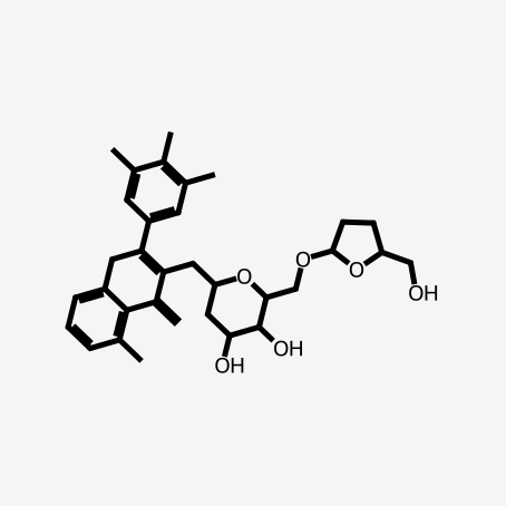 C=C1C(CC2CC(O)C(O)C(COC3CCC(CO)O3)O2)=C(c2cc(C)c(C)c(C)c2)Cc2cccc(C)c21